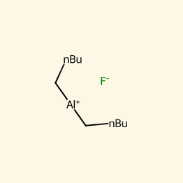 CCCC[CH2][Al+][CH2]CCCC.[F-]